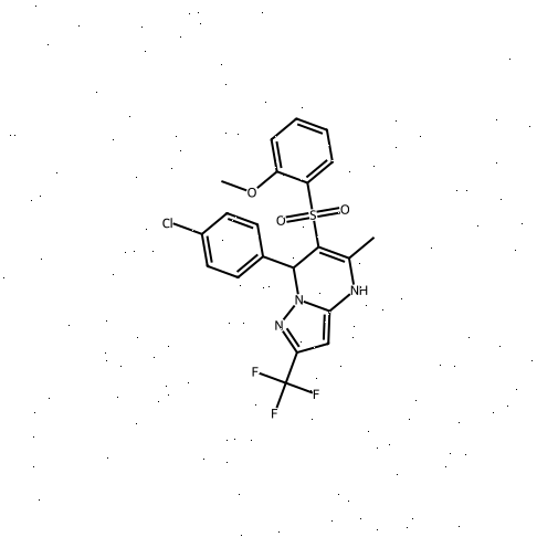 COc1ccccc1S(=O)(=O)C1=C(C)Nc2cc(C(F)(F)F)nn2C1c1ccc(Cl)cc1